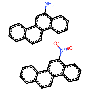 Nc1cc2c3ccccc3ccc2c2ccccc12.O=[N+]([O-])c1cc2c3ccccc3ccc2c2ccccc12